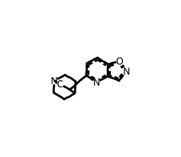 c1cc2oncc2nc1C1CN2CCC1CC2